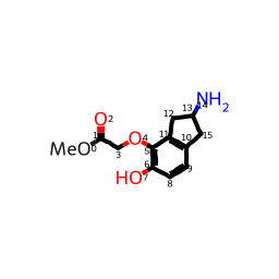 COC(=O)COc1c(O)ccc2c1CC(N)C2